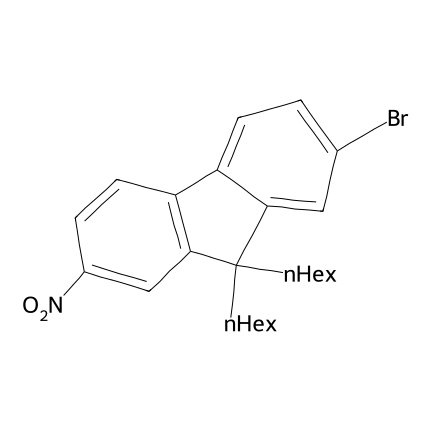 CCCCCCC1(CCCCCC)c2cc(Br)ccc2-c2ccc([N+](=O)[O-])cc21